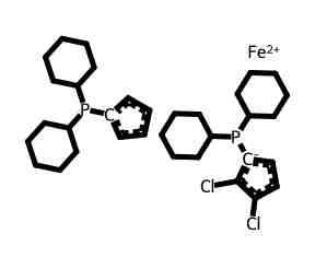 Clc1cc[c-](P(C2CCCCC2)C2CCCCC2)c1Cl.[Fe+2].c1cc[c-](P(C2CCCCC2)C2CCCCC2)c1